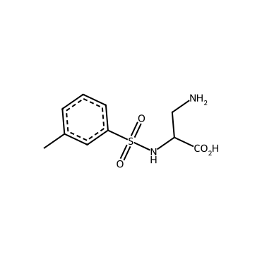 Cc1cccc(S(=O)(=O)NC(CN)C(=O)O)c1